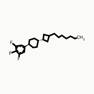 CCCCCCCC1CC([C@H]2CC[C@H](c3cc(F)c(F)c(F)c3)CC2)C1